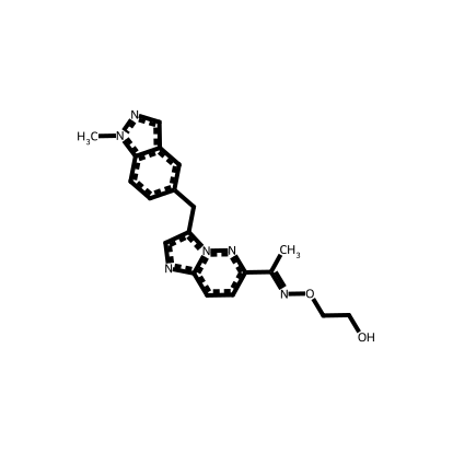 C/C(=N\OCCO)c1ccc2ncc(Cc3ccc4c(cnn4C)c3)n2n1